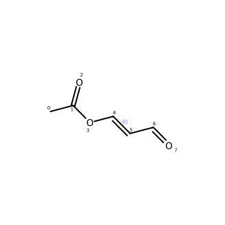 CC(=O)O/C=C/C=O